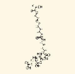 C[C@H](O)C(=O)OCCOCCCCCC(=O)NCCCC[C@H](NC(=O)N[C@@H](CCC(=O)O)C(=O)O)C(=O)O